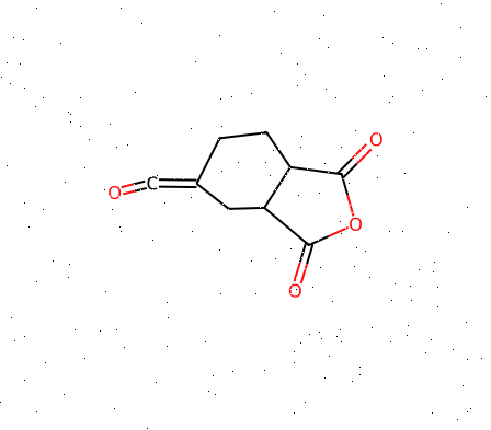 O=C=C1CCC2C(=O)OC(=O)C2C1